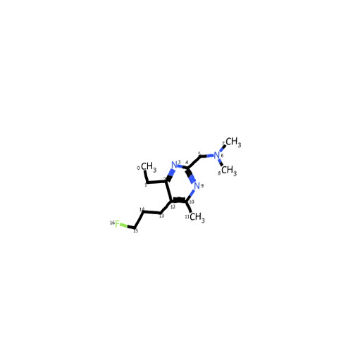 CCc1nc(CN(C)C)nc(C)c1CCCF